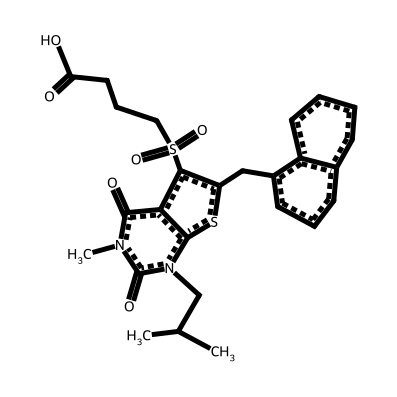 CC(C)Cn1c(=O)n(C)c(=O)c2c(S(=O)(=O)CCCC(=O)O)c(Cc3cccc4ccccc34)sc21